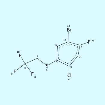 Fc1cc(Cl)c(SCC(F)(F)F)cc1Br